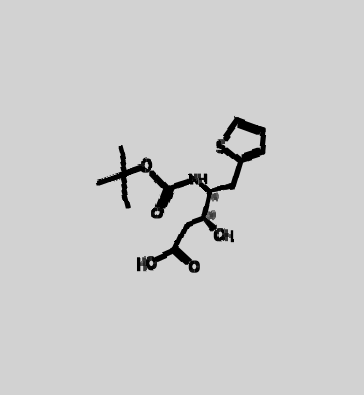 CC(C)(C)OC(=O)N[C@@H](Cc1cccs1)[C@@H](O)CC(=O)O